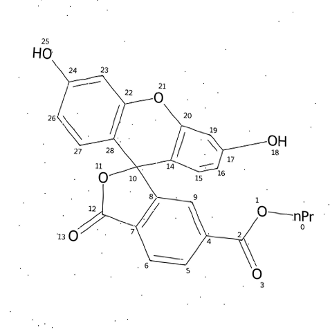 CCCOC(=O)c1ccc2c(c1)C1(OC2=O)c2ccc(O)cc2Oc2cc(O)ccc21